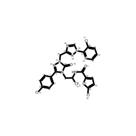 O=C(NC(Cn1c(-c2ccc(Cl)cc2)nn(Cc2ncn(-c3ncccc3Cl)n2)c1=O)C(F)(F)F)c1ccc(Cl)s1